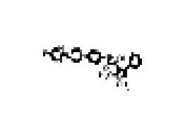 Cc1c(C(O)C(=O)Nc2ccc(N3CCN(c4ncc(F)cn4)CC3)cc2)c(-c2ccccc2)cn1C